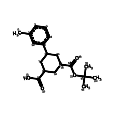 Cc1cccc(C2CC(C(=O)O)CN(C(=O)OC(C)(C)C)C2)c1